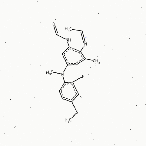 C/C=N\c1c(C)cc(N(C)c2ccc(SC)cc2F)cc1NC=O